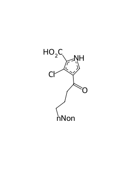 CCCCCCCCCCCCC(=O)c1c[nH]c(C(=O)O)c1Cl